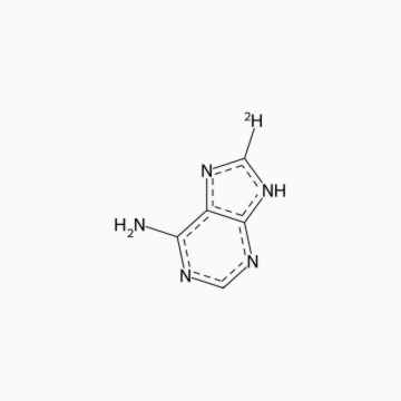 [2H]c1nc2c(N)ncnc2[nH]1